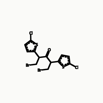 O=C(C(CBr)c1ccc(Cl)s1)C(CBr)c1ccc(Cl)s1